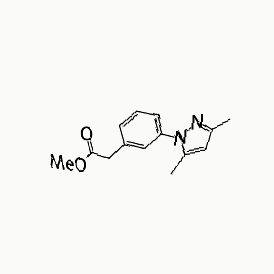 COC(=O)Cc1cccc(-n2nc(C)cc2C)c1